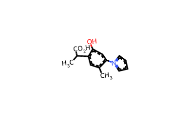 Cc1cc(C(C)C(=O)O)c(O)cc1-n1cccc1